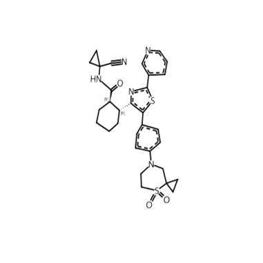 N#CC1(NC(=O)[C@@H]2CCCC[C@H]2c2nc(-c3cccnc3)sc2-c2ccc(N3CCS(=O)(=O)C4(CC4)C3)cc2)CC1